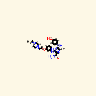 CCc1nc(C(N)=O)c(Nc2cccc(OCCN3CCN(C)CC3)c2)nc1N[C@H]1CC[C@H](O)CC1